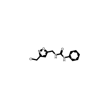 O=C(NCc1cc(CCl)no1)Nc1ccccc1